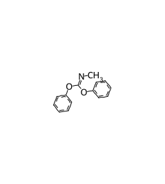 CN=C(Oc1ccccc1)Oc1ccccc1